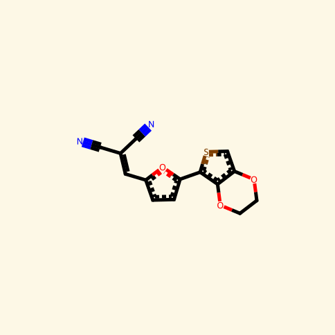 N#CC(C#N)=Cc1ccc(-c2scc3c2OCCO3)o1